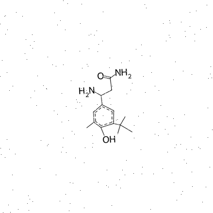 Cc1cc(C(N)CC(N)=O)cc(C(C)(C)C)c1O